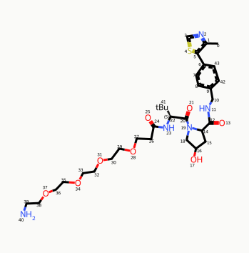 Cc1ncsc1-c1ccc(CNC(=O)C2CC(O)CN2C(=O)[C@@H](NC(=O)CCOCCOCCOCCOCCN)C(C)(C)C)cc1